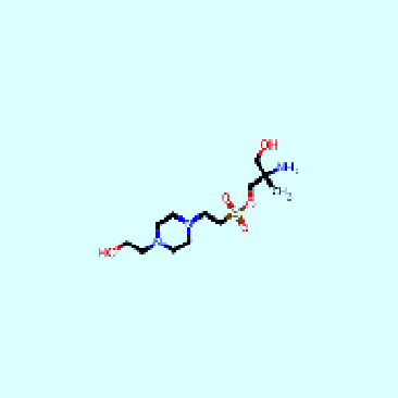 CC(N)(CO)COS(=O)(=O)CCN1CCN(CCO)CC1